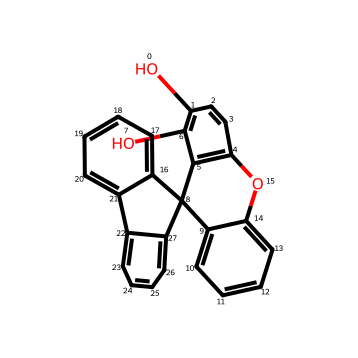 Oc1ccc2c(c1O)C1(c3ccccc3O2)c2ccccc2-c2ccccc21